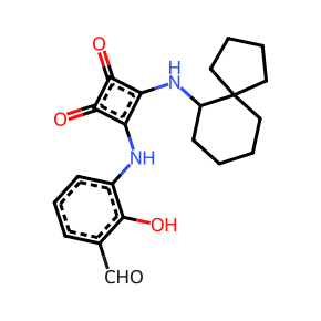 O=Cc1cccc(Nc2c(NC3CCCCC34CCCC4)c(=O)c2=O)c1O